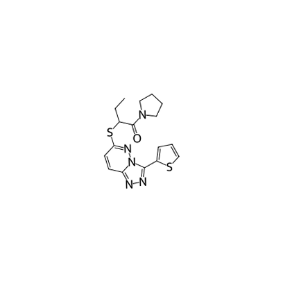 CCC(Sc1ccc2nnc(-c3cccs3)n2n1)C(=O)N1CCCC1